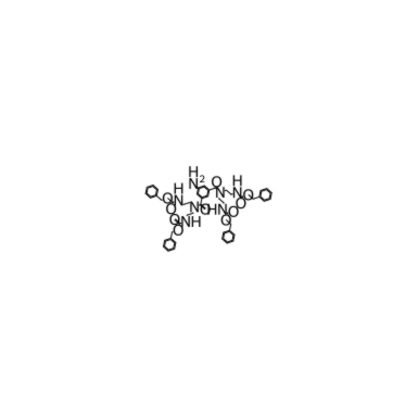 Nc1cc(C(=O)N(CCNC(=O)OCc2ccccc2)CCNC(=O)OCc2ccccc2)cc(C(=O)N(CCNC(=O)OCc2ccccc2)CCNC(=O)OCc2ccccc2)c1